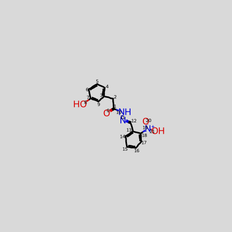 O=C(Cc1cccc(O)c1)N/N=C/c1ccccc1[N+](=O)O